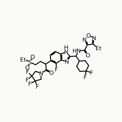 CCc1nonc1C(=O)NC(c1nc2c(F)c(C(CCS(=O)(=O)CC)C(=O)N3CC(F)(F)C(F)(F)C3)ccc2[nH]1)C1CCC(F)(F)CC1